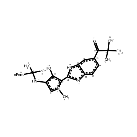 CCCCCC(C)(CCC)Nc1cn(C)c(-c2nc3ccc(C(=O)C(C)(C)CCC)cc3[nH]2)c1O